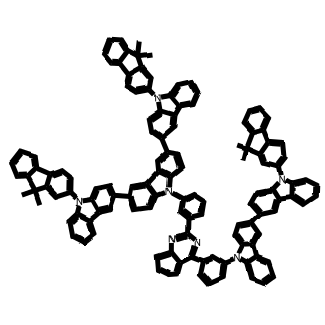 CC1(C)c2ccccc2-c2ccc(-n3c4ccccc4c4cc(-c5ccc6c(c5)c5ccccc5n6-c5cccc(-c6nc(-c7cccc(-n8c9ccc(-c%10ccc%11c(c%10)c%10ccccc%10n%11-c%10ccc%11c(c%10)C(C)(C)c%10ccccc%10-%11)cc9c9cc(-c%10ccc%11c(c%10)c%10ccccc%10n%11-c%10ccc%11c(c%10)C(C)(C)c%10ccccc%10-%11)ccc98)c7)nc7ccccc67)c5)ccc43)cc21